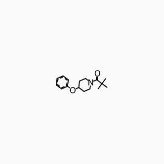 CC(C)(C)C(=O)N1CCC(Oc2ccccc2)CC1